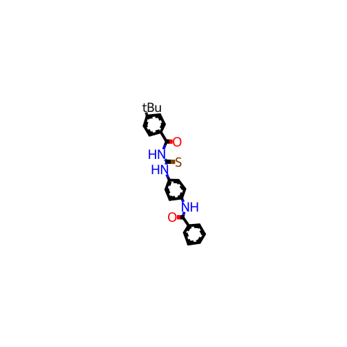 CC(C)(C)c1ccc(C(=O)NC(=S)Nc2ccc(NC(=O)c3ccccc3)cc2)cc1